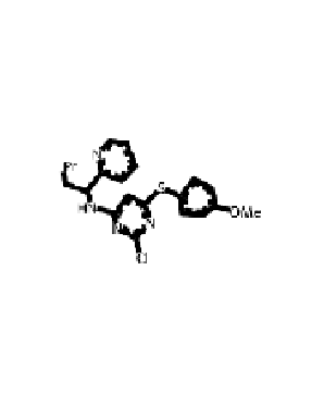 COc1ccc(Sc2cc(NC(CC(C)C)c3ccccn3)nc(Cl)n2)cc1